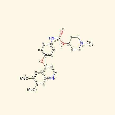 COc1cc2nccc(Oc3ccc(NC(=O)OC4CCN(C)CC4)cc3)c2cc1OC